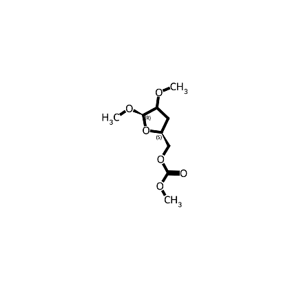 COC(=O)OC[C@@H]1CC(OC)[C@H](OC)O1